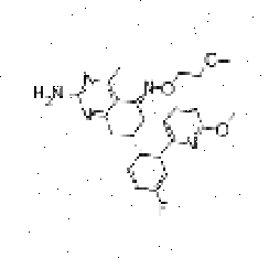 COCCO/N=C1\C[C@H](C2C=CC(F)=CC2c2cccc(OC)n2)Cc2nc(N)nc(C)c21